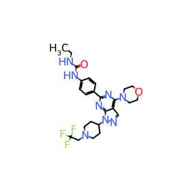 CCNC(=O)Nc1ccc(-c2nc(N3CCOCC3)c3cnn(C4CCN(CC(F)(F)F)CC4)c3n2)cc1